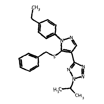 CCc1ccc(-n2ncc(-c3nnn(C(C)C)n3)c2SCc2ccccc2)cc1